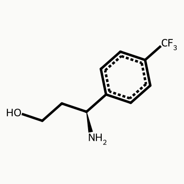 N[C@@H](CCO)c1ccc(C(F)(F)F)cc1